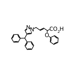 O=C(O)C(C=CCn1cc(C(c2ccccc2)c2ccccc2)cn1)Oc1ccccc1